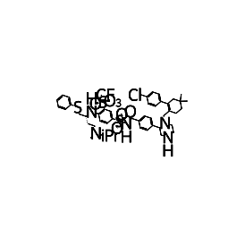 CC(C)N(C)CC[C@H](CSc1ccccc1)Nc1ccc(S(=O)(=O)NC(=O)c2ccc(C3CNCCN3CC3=C(c4ccc(Cl)cc4)CC(C)(C)CC3)cc2)cc1S(=O)(=O)C(F)(F)F